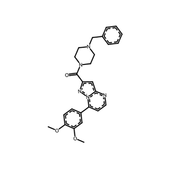 COc1ccc(-c2ccnc3cc(C(=O)N4CCN(Cc5ccccc5)CC4)nn23)cc1OC